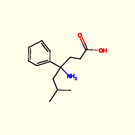 CC(C)CC(N)(CCC(=O)O)c1ccccc1